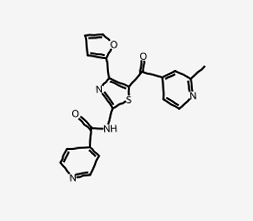 Cc1cc(C(=O)c2sc(NC(=O)c3ccncc3)nc2-c2ccco2)ccn1